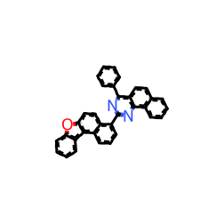 c1ccc(-c2nc(-c3cccc4c3ccc3oc5ccccc5c34)nc3c2ccc2ccccc23)cc1